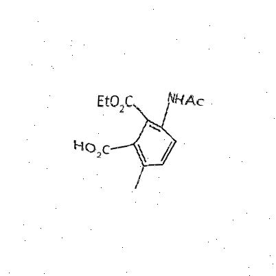 CCOC(=O)c1c(NC(C)=O)ccc(C)c1C(=O)O